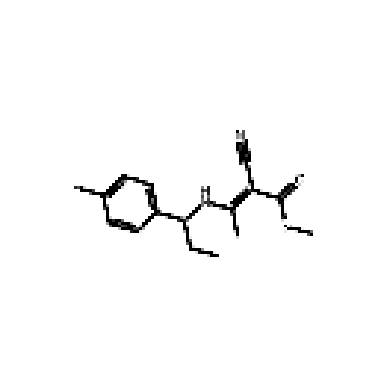 CCC(NC(C)=C(C#N)C(=O)SC)c1ccc(F)cc1